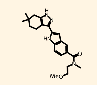 COCCN(C)C(=O)c1ccc2[nH]c(-c3n[nH]c4c3CCC(C)(C)C4)cc2c1